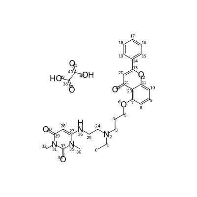 CCN(CCCOc1cccc2oc(-c3ccccc3)cc(=O)c12)CCNc1cc(=O)n(C)c(=O)n1C.O=C(O)C(=O)O